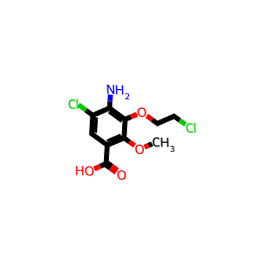 COc1c(C(=O)O)cc(Cl)c(N)c1OCCCl